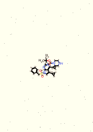 CC(C)(C)OC(=O)N1CCNCC12CC2c1ncnc2c1c(C1CC1)cn2S(=O)(=O)Cc1ccccc1